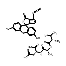 CC(C)[C@H](N)C(=O)N[C@@H](C)C(=O)N[C@@H](CC(=O)O)C(=O)O.O=C1OC2(c3ccc(O)cc3Oc3cc(O)ccc32)c2cccc(N=C=S)c21